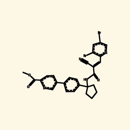 COC(=O)c1ccc(-c2ccc(C3(NC(=O)C(C#N)=Cc4ncc(Br)cc4Br)CCCC3)cc2)cn1